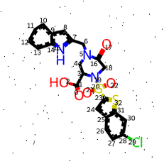 O=C(O)C1CN(Cc2cc3ccccc3[nH]2)C(=O)CN1S(=O)(=O)c1cc2ccc(Cl)cc2s1